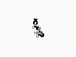 O=C(c1cnn(-c2nn3cccc3c(=O)[nH]2)c1)N1CCC2(CC1)CC2